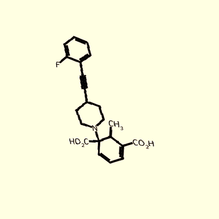 CC1C(C(=O)O)=CC=CC1(C(=O)O)N1CCC(C#Cc2ccccc2F)CC1